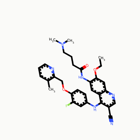 CCOc1cc2ncc(C#N)c(Nc3ccc(OCc4ncccc4C)c(F)c3)c2cc1NC(=O)CCCN(C)C